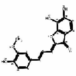 COc1cc(C=CC=C2Oc3c(ccc(O)c3O)C2=O)ccc1O